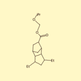 CCC1CC(CC)C2C3CC(CC3C(=O)OCOC(C)C)C12